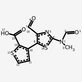 CN(C=O)c1nc(C=O)c(-c2ccsc2C(=O)O)s1